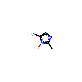 Cc1ncc([N+](=O)[O-])n1O